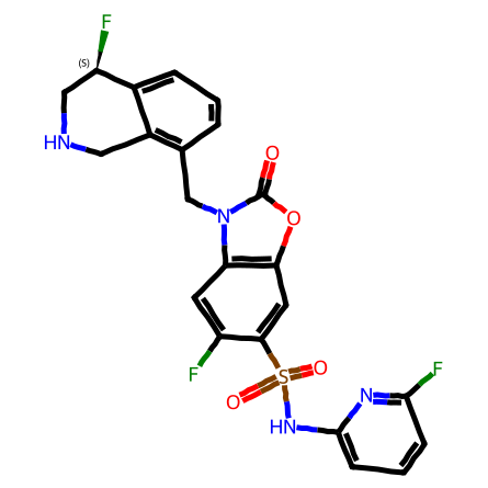 O=c1oc2cc(S(=O)(=O)Nc3cccc(F)n3)c(F)cc2n1Cc1cccc2c1CNC[C@H]2F